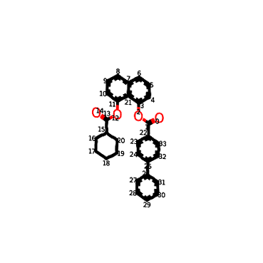 O=C(Oc1cccc2cccc(OC(=O)C3CCCCC3)c12)c1ccc(-c2ccccc2)cc1